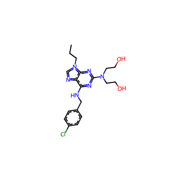 CCCn1cnc2c(NCc3ccc(Cl)cc3)nc(N(CCO)CCO)nc21